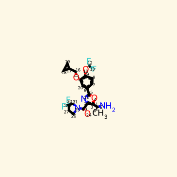 C[C@H](N)c1oc(-c2ccc(OC(F)F)c(OCC3CC3)c2)nc1C(=O)N1CCC(F)(F)C1